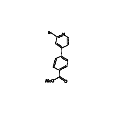 COC(=O)c1ccc(-c2ccnc(Br)c2)cc1